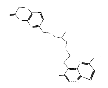 COc1ccc2ncc(F)c(CCNCC(C)CNCc3ccc4c(n3)NC(=O)CO4)c2n1